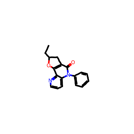 CCC1Cc2c(c3ncccc3n(-c3ccccc3)c2=O)O1